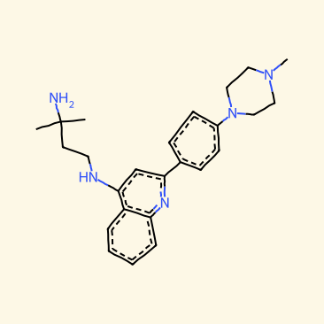 CN1CCN(c2ccc(-c3cc(NCCC(C)(C)N)c4ccccc4n3)cc2)CC1